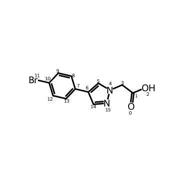 O=C(O)Cn1cc(-c2ccc(Br)cc2)cn1